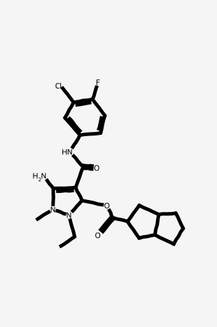 CCN1C(OC(=O)C2CC3CCCC3C2)C(C(=O)Nc2ccc(F)c(Cl)c2)=C(N)N1C